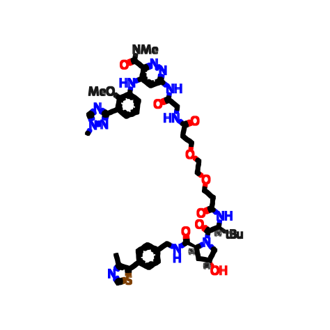 CNC(=O)c1nnc(NC(=O)CNC(=O)CCOCCOCCC(=O)N[C@H](C(=O)N2C[C@H](O)C[C@H]2C(=O)NCc2ccc(-c3scnc3C)cc2)C(C)(C)C)cc1Nc1cccc(-c2ncn(C)n2)c1OC